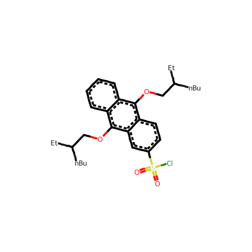 CCCCC(CC)COc1c2ccccc2c(OCC(CC)CCCC)c2cc(S(=O)(=O)Cl)ccc12